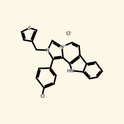 Clc1ccc(-c2c3c4[nH]c5ccccc5c4cc[n+]3cn2Cc2ccsc2)cc1.[Cl-]